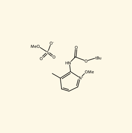 COS(=O)(=O)[O-].CO[n+]1cccc(C)c1NC(=O)OC(C)(C)C